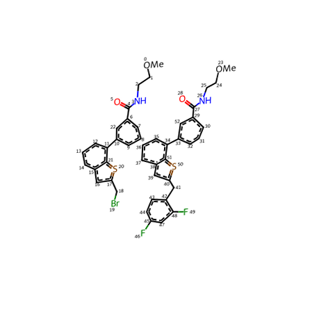 COCCNC(=O)c1cccc(-c2cccc3cc(CBr)sc23)c1.COCCNC(=O)c1cccc(-c2cccc3cc(Cc4ccc(F)cc4F)sc23)c1